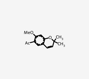 COc1cc2c(cc1C(C)=O)C=CC(C)(C)O2